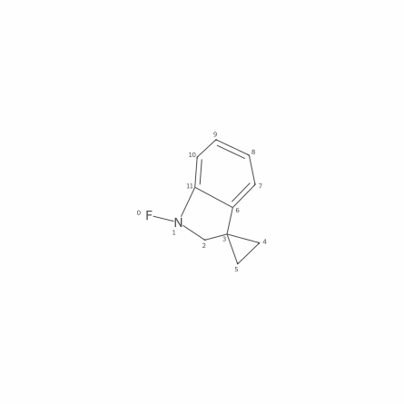 FN1CC2(CC2)c2ccccc21